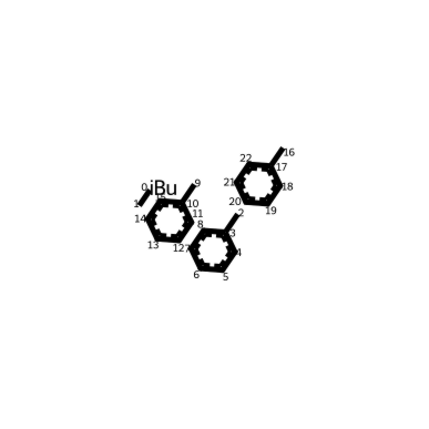 CCC(C)C.Cc1ccccc1.Cc1ccccc1.Cc1ccccc1